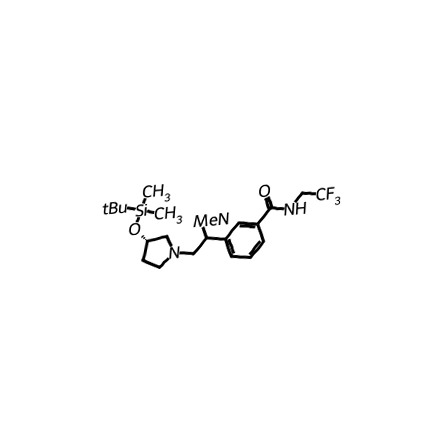 CNC(CN1CC[C@H](O[Si](C)(C)C(C)(C)C)C1)c1cccc(C(=O)NCC(F)(F)F)c1